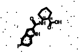 O=C(N[C@H]1CCCC[C@H]1C(=O)O)c1cc2cc(F)ccc2[nH]1